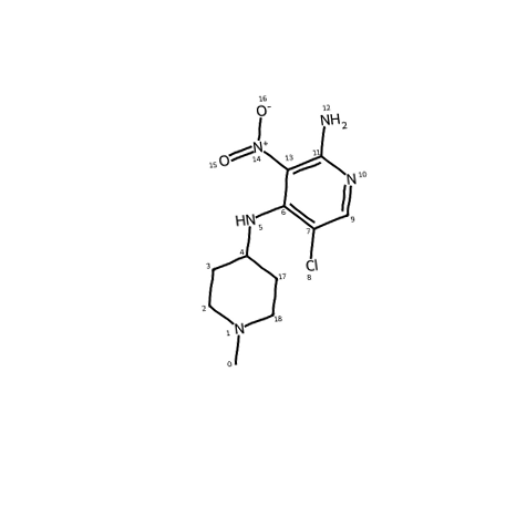 CN1CCC(Nc2c(Cl)cnc(N)c2[N+](=O)[O-])CC1